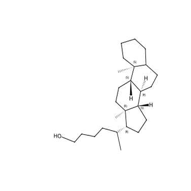 CC(CCCCO)[C@H]1CC[C@H]2[C@@H]3CCC4CCCC[C@]4(C)[C@H]3CC[C@]12C